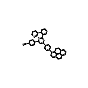 N#Cc1ccc(-c2cc(-c3ccc(-c4ccc5ccc6cccc7ccc4c5c67)cc3)nc(-c3ccccc3-c3cccnc3)n2)cc1